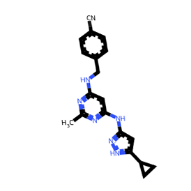 Cc1nc(NCc2ccc(C#N)cc2)cc(Nc2cc(C3CC3)[nH]n2)n1